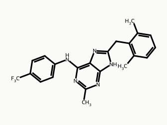 Cc1nc(Nc2ccc(C(F)(F)F)cc2)c2nc(Cc3c(C)cccc3C)[nH]c2n1